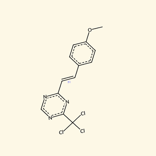 COc1ccc(/C=C/c2ncnc(C(Cl)(Cl)Cl)n2)cc1